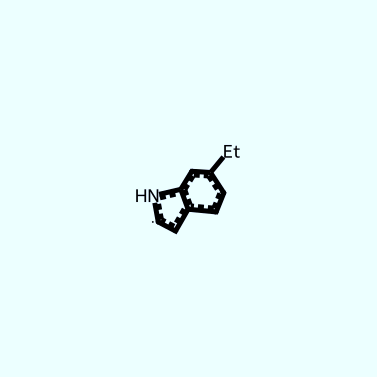 CCc1ccc2c[c][nH]c2c1